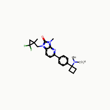 Cn1c(=O)n(CC2(C)CC2(F)F)c2ccc(-c3ccc(C4(N(C(=O)O)C(C)(C)C)CCC4)cc3)nc21